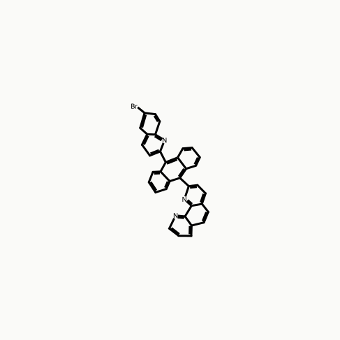 Brc1ccc2nc(-c3c4ccccc4c(-c4ccc5ccc6cccnc6c5n4)c4ccccc34)ccc2c1